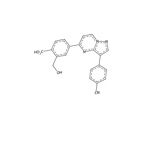 N#Cc1ccc(-c2cnn3ccc(-c4ccc(C(=O)O)c(CO)c4)nc23)cc1